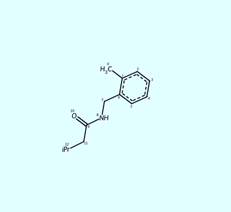 Cc1ccccc1CNC(=O)CC(C)C